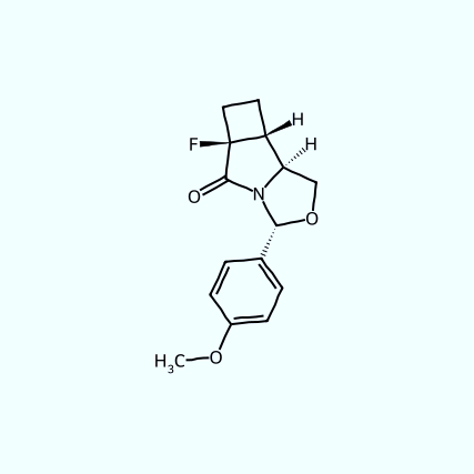 COc1ccc([C@H]2OC[C@@H]3[C@H]4CC[C@@]4(F)C(=O)N23)cc1